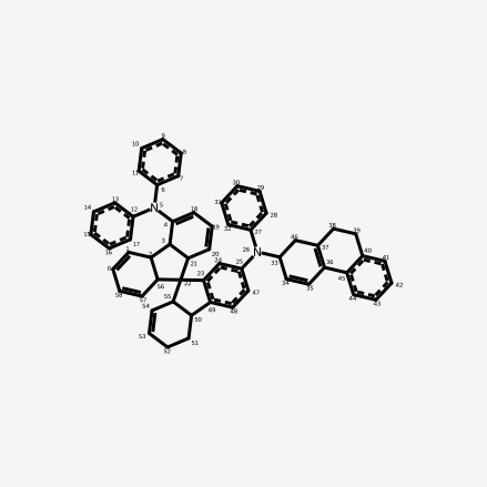 C1=CC2C3C(N(c4ccccc4)c4ccccc4)=CC=CC3C3(c4cc(N(c5ccccc5)C5C=CC6=C(CCc7ccccc76)C5)ccc4C4CCC=CC43)C2C=C1